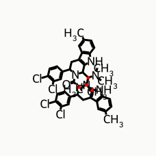 Cc1ccc2[nH]c3c(c2c1)CC(c1ccc(Cl)c(Cl)c1)N(C(=O)N1C(c2ccc(Cl)c(Cl)c2)Cc2c([nH]c4ccc(C)cc24)C1CN(C)C)C3CN(C)C